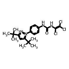 CC(C)(C)c1cc(C(C)(C)C)n(-c2ccc(NC(=O)NC(Cl)=C(Cl)Cl)cc2)n1